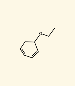 CCO[C]1C=CC=CC1